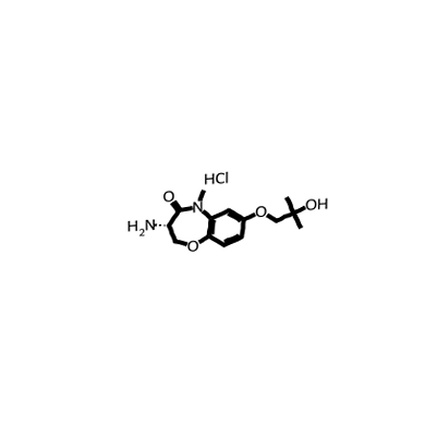 CN1C(=O)[C@@H](N)COc2ccc(OCC(C)(C)O)cc21.Cl